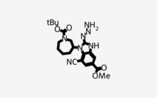 COC(=O)c1cc(C#N)c2c(c1)NC(N=NN)N2C1CCCCN(C(=O)OC(C)(C)C)C1